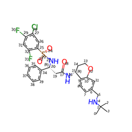 CC(C)(C)NCc1ccc2c(c1)OCC[C@H]2NC(=O)C[C@@H](NS(=O)(=O)c1cc(Cl)c(F)cc1F)c1ccccc1